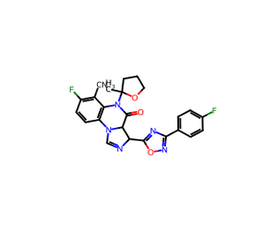 CC1(N2C(=O)C3C(c4nc(-c5ccc(F)cc5)no4)N=CN3c3ccc(F)c(C#N)c32)CCCO1